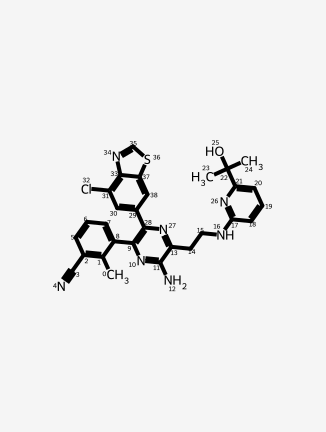 Cc1c(C#N)cccc1-c1nc(N)c(CCNc2cccc(C(C)(C)O)n2)nc1-c1cc(Cl)c2ncsc2c1